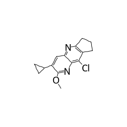 COc1nc2c(Cl)c3c(nc2cc1C1CC1)CCC3